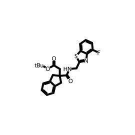 CC(C)(C)OC(=O)CC1(C(=O)NCc2nc3c(F)cccc3s2)Cc2ccccc2C1